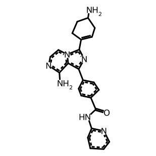 Nc1nccn2c(C3=CCC(N)CC3)nc(-c3ccc(C(=O)Nc4ccccn4)cc3)c12